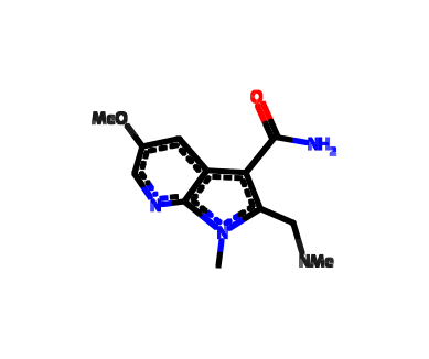 CNCc1c(C(N)=O)c2cc(OC)cnc2n1C